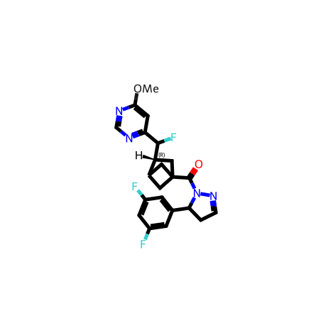 COc1cc(C(F)[C@@H]2CC3(C(=O)N4N=CCC4c4cc(F)cc(F)c4)CC2C3)ncn1